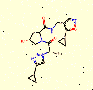 CC(C)(C)[C@@H](C(=O)N1C[C@H](O)C[C@H]1C(=O)NCc1cnoc1C1CC1)n1cc(C2CC2)nn1